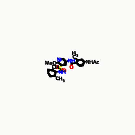 COc1ncc(NC(=O)c2ccc(NC(C)=O)cc2C)cc1S(=O)(=O)Nc1c(C)cccc1C